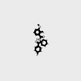 COc1cccc(C(=O)NC2(C(=O)C3=CCC(F)C=C3)CCCCC2)c1C